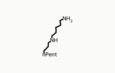 CCCCCCCCNCCCCCN